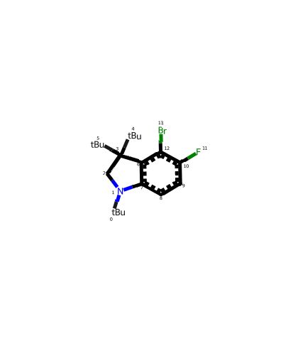 CC(C)(C)N1CC(C(C)(C)C)(C(C)(C)C)c2c1ccc(F)c2Br